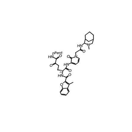 CCCCCNC(=O)C(=O)CC[C@H](NC(=O)c1oc2ccccc2c1C)C(=O)Nc1cccn(CC(=O)NC2C3CCCC(C3)CN2C)c1=O